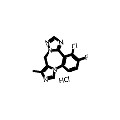 Cc1ncn2c1Cn1ncnc1-c1c-2ccc(F)c1Cl.Cl